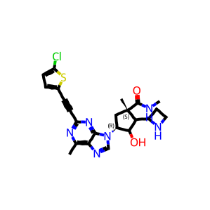 CNC(=O)[C@@]1(C)C[C@@H](n2cnc3c(C)nc(C#Cc4ccc(Cl)s4)nc32)C(O)C1C1CCN1